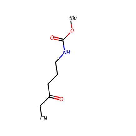 CC(C)(C)OC(=O)NCCCC(=O)CC#N